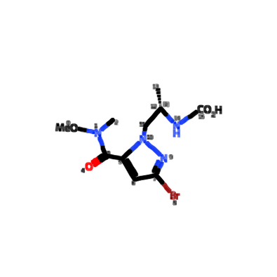 CON(C)C(=O)c1cc(Br)nn1C[C@H](C)NC(=O)O